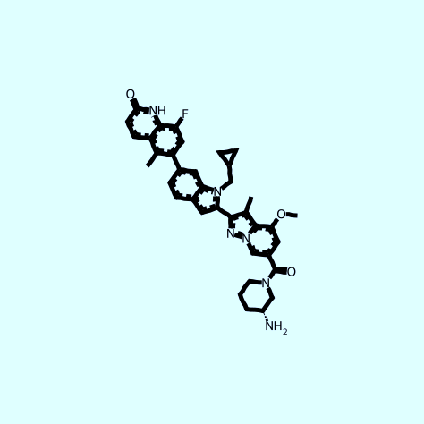 COc1cc(C(=O)N2CCC[C@@H](N)C2)cn2nc(-c3cc4ccc(-c5cc(F)c6[nH]c(=O)ccc6c5C)cc4n3CC3CC3)c(C)c12